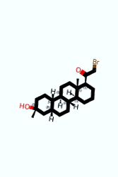 C[C@@]1(O)CC[C@H]2[C@H](CC[C@@H]3[C@@H]2CC[C@]2(C)[C@@H](C(=O)CBr)CCC[C@@H]32)C1